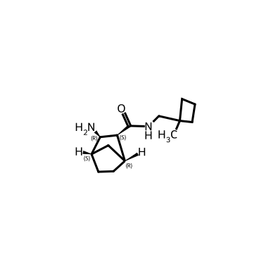 CC1(CNC(=O)[C@H]2[C@@H]3CC[C@@H](C3)[C@H]2N)CCC1